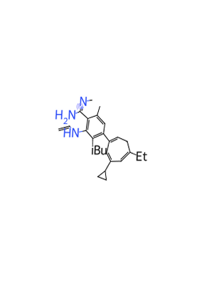 C=CNc1c(/C(N)=N\C)c(C)cc(C2=CCC(CC)=CC(C3CC3)=C2)c1C(C)CC